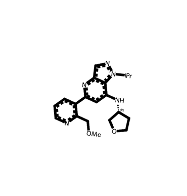 COCc1ncccc1-c1cc(N[C@@H]2CCOC2)c2c(cnn2C(C)C)n1